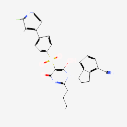 CCCCc1nc(=O)c(S(=O)(=O)c2ccc(-c3ccnc(F)c3C)cc2)c(O)n1[C@H]1CCc2c(C#N)cccc21